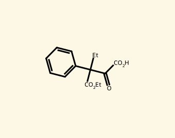 CCOC(=O)C(CC)(C(=O)C(=O)O)c1ccccc1